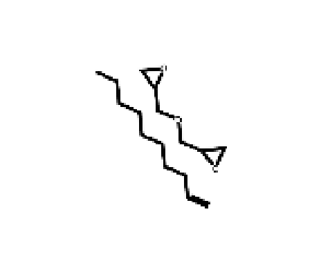 C(OCC1CO1)C1CO1.C=CCCCCCCCC